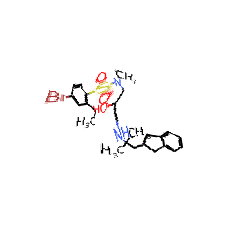 CCc1cc(Br)ccc1S(=O)(=O)N(C)CC(O)CNC(C)(C)CC1Cc2ccccc2C1